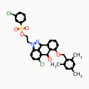 Cc1cc(C)c(COc2cccc3c2C(=O)c2c(Cl)ccc4c2c-3nn4CCOS(=O)(=O)c2cccc(Cl)c2)c(C)c1